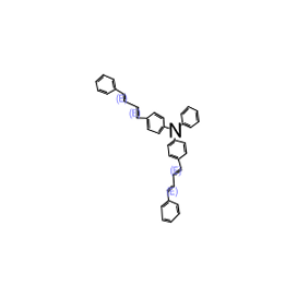 C(/C=C/c1ccc(N(c2ccccc2)c2ccc(/C=C/C=C/c3ccccc3)cc2)cc1)=C\c1ccccc1